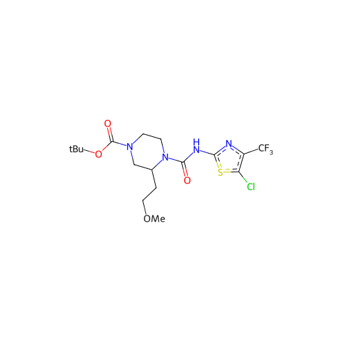 COCCC1CN(C(=O)OC(C)(C)C)CCN1C(=O)Nc1nc(C(F)(F)F)c(Cl)s1